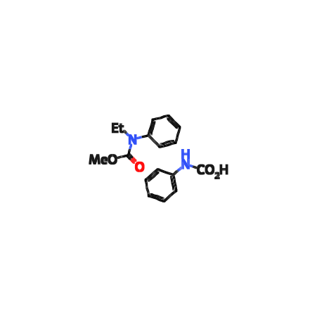 CCN(C(=O)OC)c1ccccc1.O=C(O)Nc1ccccc1